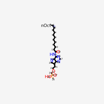 CCCCCCCC/C=C\CCCCCCCCCC(=O)NC1=NC=NC2C(CCOCP(C)(=O)O)C=NC12